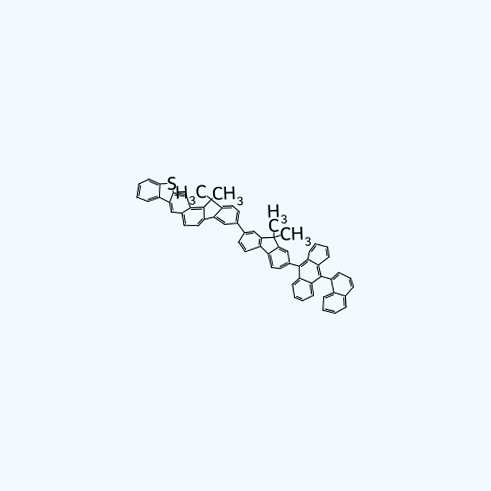 CC1(C)c2cc(-c3ccc4c(c3)-c3ccc5cc6c(cc5c3C4(C)C)sc3ccccc36)ccc2-c2ccc(-c3c4ccccc4c(-c4cccc5ccccc45)c4ccccc34)cc21